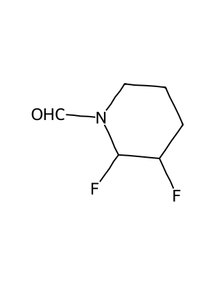 O=CN1CCCC(F)C1F